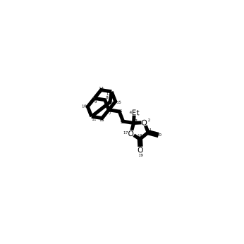 C=C1OC(CC)(CCC23CC4CC(CC(C4)C2)C3)OC1=O